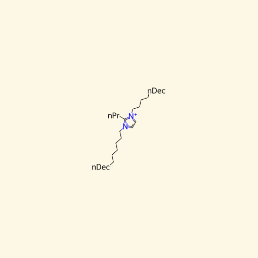 CCCCCCCCCCCCCCCCn1cc[n+](CCCCCCCCCCCCCC)c1CCC